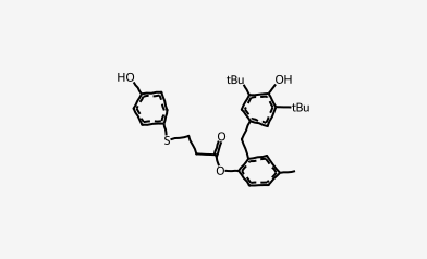 Cc1ccc(OC(=O)CCSc2ccc(O)cc2)c(Cc2cc(C(C)(C)C)c(O)c(C(C)(C)C)c2)c1